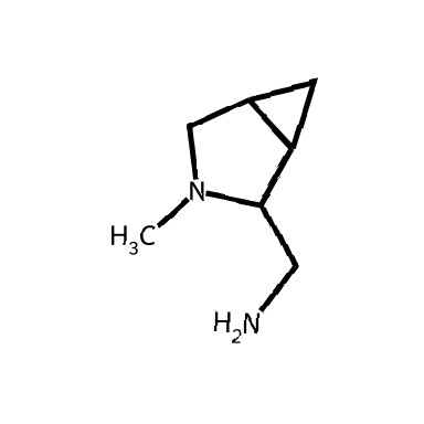 CN1CC2CC2C1CN